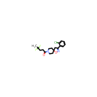 CC(F)(F)CCC(=O)N1CCC2(CC1)CC(c1ccccc1Cl)=NO2